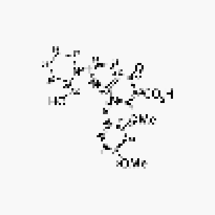 COc1ccc(Cn2cc(C(=O)O)c(=O)c3ccc(N4CCCCC4CO)nc32)c(OC)c1